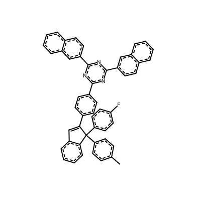 Cc1ccc(C2(c3ccc(F)cc3)C(c3ccc(-c4nc(-c5ccc6ccccc6c5)nc(-c5ccc6ccccc6c5)n4)cc3)=Cc3ccccc32)cc1